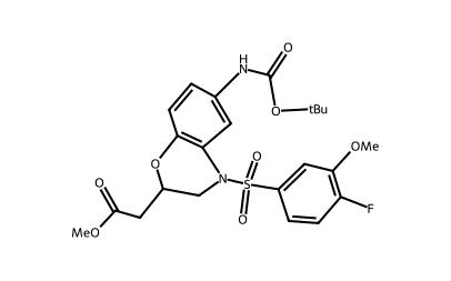 COC(=O)CC1CN(S(=O)(=O)c2ccc(F)c(OC)c2)c2cc(NC(=O)OC(C)(C)C)ccc2O1